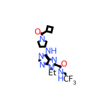 CCn1c(C(=O)NCC(F)(F)F)nc2c(NC3CCN(C(=O)C4CCC4)C3)ncnc21